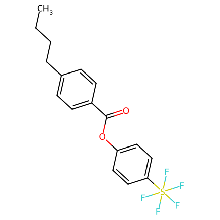 CCCCc1ccc(C(=O)Oc2ccc(S(F)(F)(F)(F)F)cc2)cc1